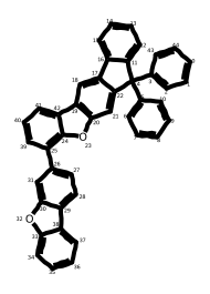 c1ccc(C2(c3ccccc3)c3ccccc3-c3cc4c(cc32)oc2c(-c3ccc5c(c3)oc3ccccc35)cccc24)cc1